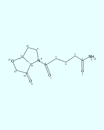 NC(=O)CCCC(=O)N1CCC2OCC(=O)C21